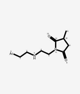 CC(=O)CCNCCN1C(=O)CC(C)C1=O